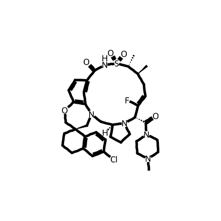 C[C@@H]1[C@@H](C)C/C=C(\F)[C@H](C(=O)N2CCN(C)CC2)N2CCC[C@H]2CN2C[C@@]3(CCCc4cc(Cl)ccc43)COc3ccc(cc32)C(=O)NS1(=O)=O